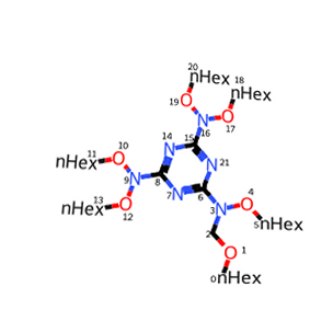 CCCCCCOCN(OCCCCCC)c1nc(N(OCCCCCC)OCCCCCC)nc(N(OCCCCCC)OCCCCCC)n1